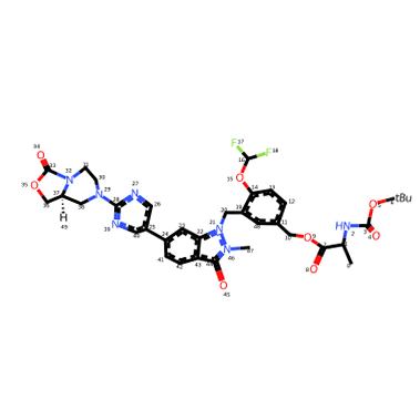 CC(NC(=O)OC(C)(C)C)C(=O)OCc1ccc(OC(F)F)c(Cn2c3cc(-c4cnc(N5CCN6C(=O)OC[C@@H]6C5)nc4)ccc3c(=O)n2C)c1